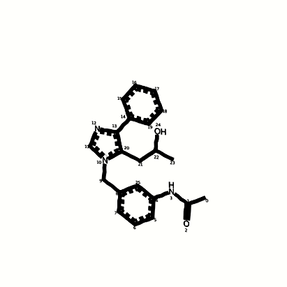 CC(=O)Nc1cccc(Cn2cnc(-c3ccccc3)c2CC(C)O)c1